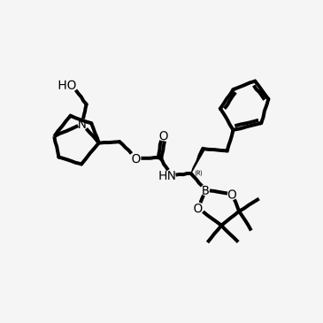 CC1(C)OB([C@H](CCc2ccccc2)NC(=O)OCC23CCC(CC2)N3CO)OC1(C)C